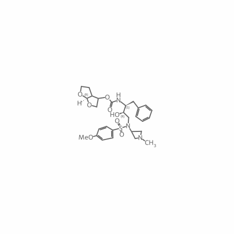 COc1ccc(S(=O)(=O)N(C[C@@H](O)[C@H](Cc2ccccc2)NC(=O)OC2CO[C@H]3OCCC23)C2CN(C)C2)cc1